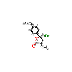 C=C1CC(CBr)(c2ccc(OC)cc2)OC1=O